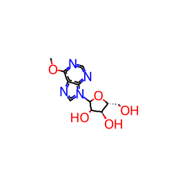 COc1ncnc2c1ncn2C1O[C@H](CO)[C@@H](O)[C@H]1O